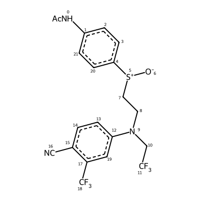 CC(=O)Nc1ccc([S+]([O-])CCN(CC(F)(F)F)c2ccc(C#N)c(C(F)(F)F)c2)cc1